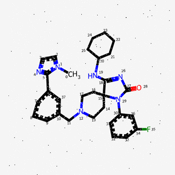 Cn1ccnc1-c1cccc(CN2CCC3(CC2)C(NC2CCCCC2)=NC(=O)N3c2cccc(F)c2)c1